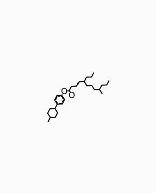 CCCC(C)CCCC(CCC)CCCC(=O)Oc1ccc(C2CCC(C)CC2)cc1